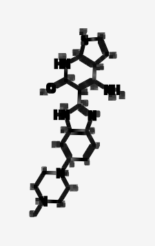 CN1CCN(c2ccc3nc(-c4c(N)c5ccsc5[nH]c4=O)[nH]c3c2)CC1